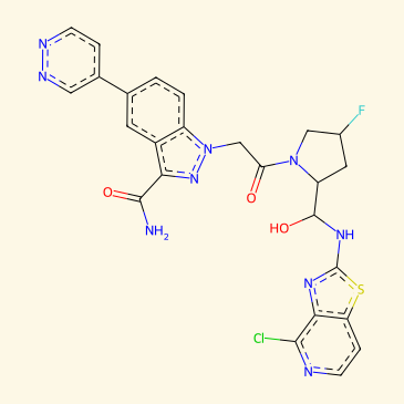 NC(=O)c1nn(CC(=O)N2CC(F)CC2C(O)Nc2nc3c(Cl)nccc3s2)c2ccc(-c3ccnnc3)cc12